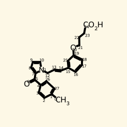 Cc1ccc(C(=O)c2cccn2C/C=C/c2cccc(OCCCC(=O)O)c2)cc1